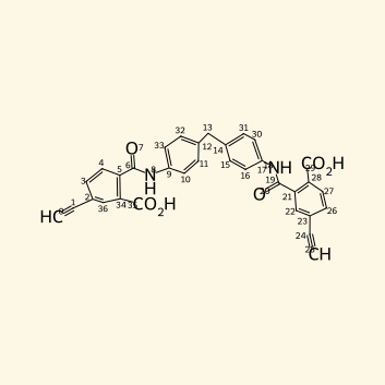 C#Cc1ccc(C(=O)Nc2ccc(Cc3ccc(NC(=O)c4cc(C#C)ccc4C(=O)O)cc3)cc2)c(C(=O)O)c1